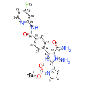 CC(C)(C)OC(=O)N1CCC[C@H]1c1nc(-c2ccc(C(=O)Nc3cc(F)ccn3)cc2)c(C(N)=O)n1N